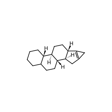 C1CC[C@H]2C(C1)CC[C@H]1[C@@H]3CC4=C(C4)[C@H]3CC[C@@H]12